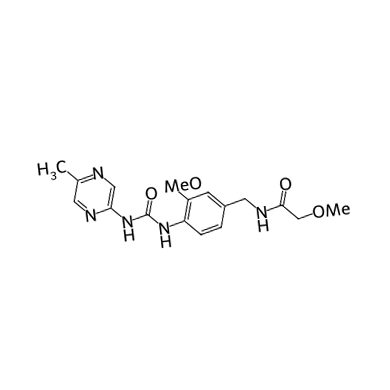 COCC(=O)NCc1ccc(NC(=O)Nc2cnc(C)cn2)c(OC)c1